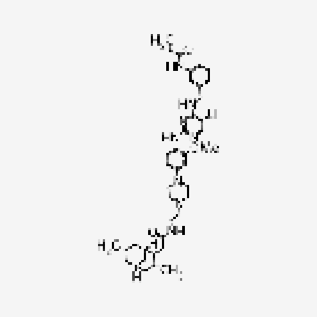 C=CC(=O)Nc1cccc(CNc2nc(Nc3ccc(N4CCN(CCNC(=O)CC5[C@H]6C[C@@H](C)C[C@H](C6)C[C@H]5C)CC4)cc3OC)ncc2Cl)c1